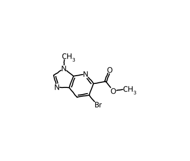 COC(=O)c1nc2c(cc1Br)ncn2C